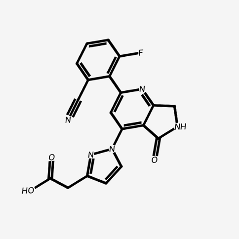 N#Cc1cccc(F)c1-c1cc(-n2ccc(CC(=O)O)n2)c2c(n1)CNC2=O